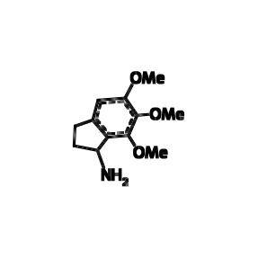 COc1cc2c(c(OC)c1OC)C(N)CC2